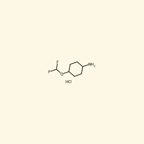 Cl.NC1CCC(OC(F)F)CC1